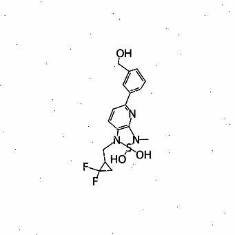 CN1c2nc(-c3cccc(CO)c3)ccc2N(CC2CC2(F)F)S1(O)O